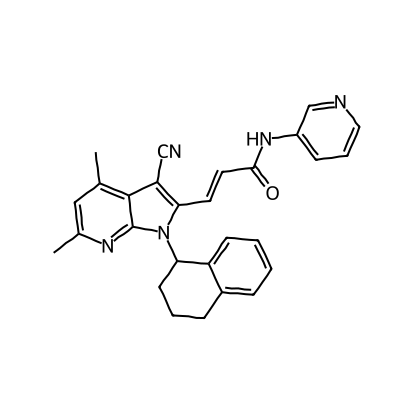 Cc1cc(C)c2c(C#N)c(C=CC(=O)Nc3cccnc3)n(C3CCCc4ccccc43)c2n1